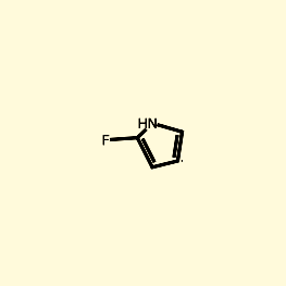 Fc1c[c]c[nH]1